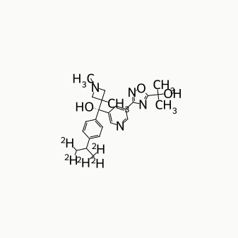 [2H]C([2H])C(c1ccc([C@](O)(c2cncc(-c3noc(C(C)(C)O)n3)c2)C2(C)CN(C)C2)cc1)C([2H])([2H])[2H]